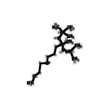 COCCOCCC[Si](C)(O[SiH](C)C)O[Si](C)(C)C